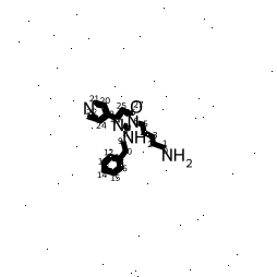 NCCCCCn1c(NCCc2ccccc2)nc(-c2ccncc2)cc1=O